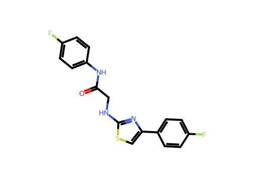 O=C(CNc1nc(-c2ccc(F)cc2)cs1)Nc1ccc(F)cc1